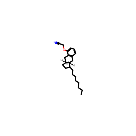 CCCCCCCCC1CC[C@@H]2Cc3c(cccc3OCC#N)C[C@H]12